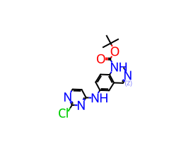 C/N=C\c1cc(Nc2ccnc(Cl)n2)ccc1NC(=O)OC(C)(C)C